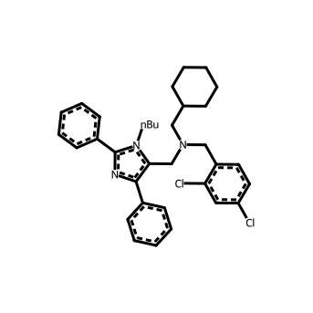 CCCCn1c(-c2ccccc2)nc(-c2ccccc2)c1CN(Cc1ccc(Cl)cc1Cl)CC1CCCCC1